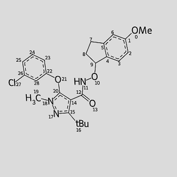 COc1ccc2c(c1)CCC2ONC(=O)c1c(C(C)(C)C)nn(C)c1Oc1cccc(Cl)c1